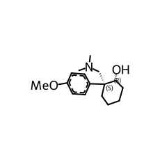 COc1ccc([C@]2(CN(C)C)CCCC[C@H]2O)cc1